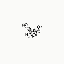 C=CC(=O)N1CCCC(n2nc(C(=O)Nc3ccc(CC(=O)N(C)C)cc3Cl)c3c(N)ncnc32)C1